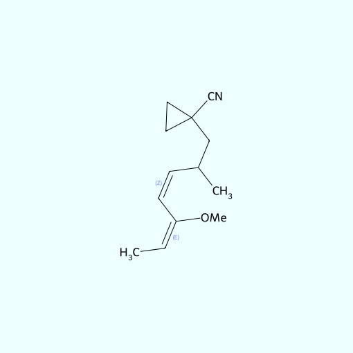 C/C=C(\C=C/C(C)CC1(C#N)CC1)OC